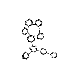 c1ccc(-c2cc(-c3ccc(-c4cccnc4)cc3)nc(-c3ccc4c(c3)-c3ccccc3Sc3ccccc3-c3ccccc3-c3ccccc3-4)n2)cc1